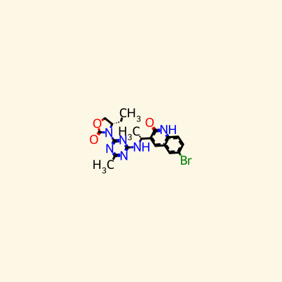 CC[C@H]1COC(=O)N1c1nc(C)nc(N[C@H](C)c2cc3cc(Br)ccc3[nH]c2=O)n1